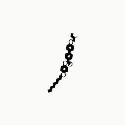 C=CCCCCCCCOc1ccc(OC(=O)c2ccc(-c3ccc(OC[C@@H](C)CC)cc3)cc2)cc1